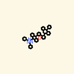 C1=CCC(c2nc(-c3ccccc3)nc(-c3c4ccccc4c(-c4cccc5c4OC4=CC=CC(C6=c7ccccc7=C(c7ccccc7)c7ccccc7C6)C45)c4ccccc34)n2)C=C1